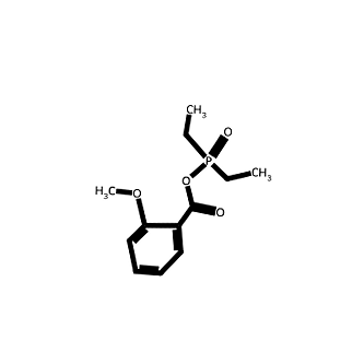 CCP(=O)(CC)OC(=O)c1ccccc1OC